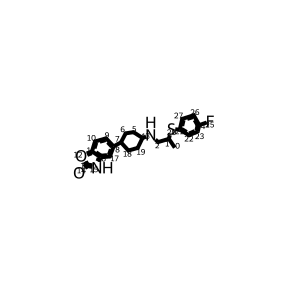 CC(CNC1CCC(c2ccc3oc(=O)[nH]c3c2)CC1)Sc1ccc(F)cc1